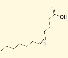 C=C(O)CCC/C=C\CCCCCC